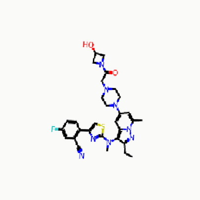 CCc1nn2c(C)cc(N3CCN(CC(=O)N4CC(O)C4)CC3)cc2c1N(C)c1nc(-c2ccc(F)cc2C#N)cs1